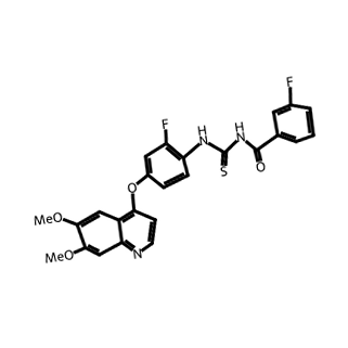 COc1cc2nccc(Oc3ccc(NC(=S)NC(=O)c4cccc(F)c4)c(F)c3)c2cc1OC